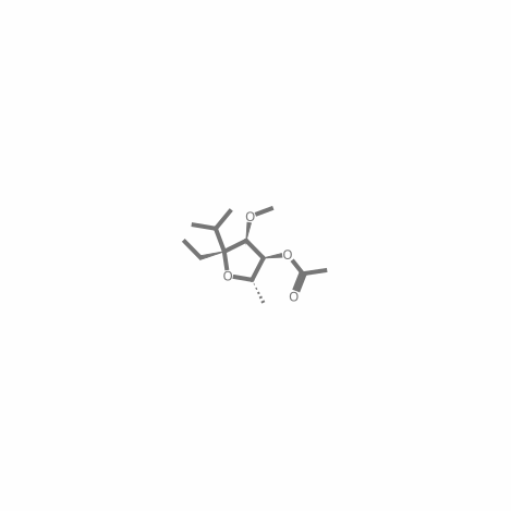 CC[C@]1(C(C)C)O[C@@H](C)[C@H](OC(C)=O)[C@@H]1OC